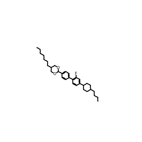 CCCCCCCC1COC(c2ccc(-c3ccc(C4CCC(CCCC)CC4)cc3F)cc2)OC1